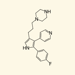 Fc1ccc(-c2[nH]cc(CCCN3CCNCC3)c2-c2ccncc2)cc1